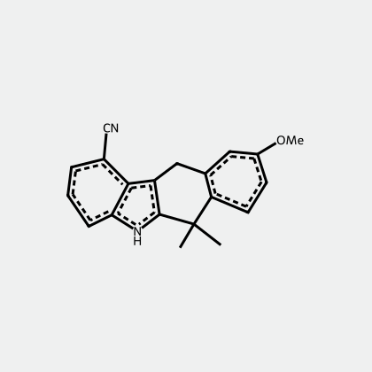 COc1ccc2c(c1)Cc1c([nH]c3cccc(C#N)c13)C2(C)C